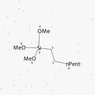 CCCC[CH]CC[Si](OC)(OC)OC